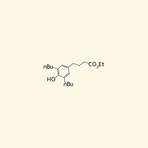 CCCCc1cc(CCCC(=O)OCC)cc(CCCC)c1O